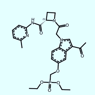 CCOP(=O)(COc1ccc2c(c1)c(C(C)=O)cn2CC(=O)N1CC[C@H]1C(=O)Nc1cccc(C)n1)OCC